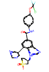 O=C(Nc1ccc(OC(F)(F)Cl)cc1)c1cc(-c2cncnc2)c2c(c1)ncn2C1CS(=O)(=O)C1